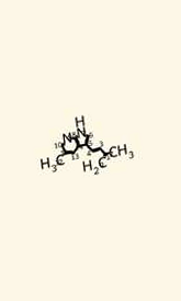 C=C(C)/C=C/c1c[nH]c2ncc(C)cc12